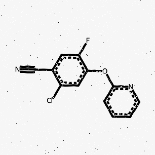 N#Cc1cc(F)c(Oc2ccccn2)cc1Cl